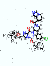 CC(C)(C)[Si](C)(C)OCc1cn(COCC[Si](C)(C)C)c(C(=O)N[C@@H]2CN(C(=O)c3cccn4cncc34)CC[C@H]2c2cccc(Cl)c2)n1